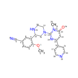 COc1ccc(C#N)cc1C1CN(c2nc(-c3ccncc3)cc(=O)n2C)CCN1